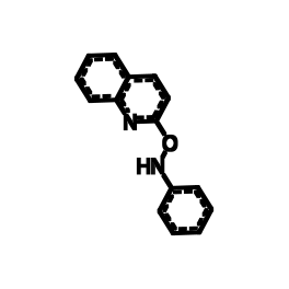 c1ccc(NOc2ccc3ccccc3n2)cc1